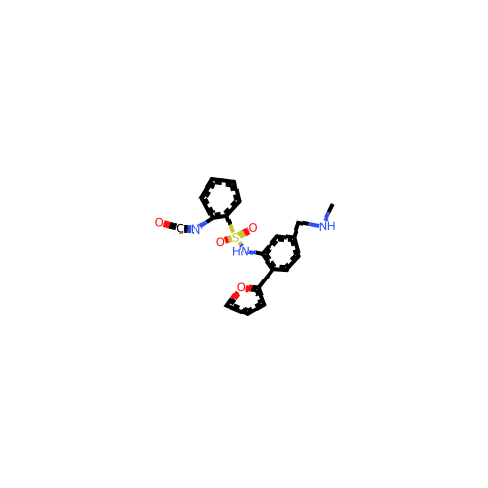 CNCc1ccc(-c2ccco2)c(NS(=O)(=O)c2ccccc2N=C=O)c1